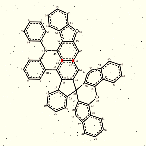 c1ccc(N(c2ccccc2-c2cccc3c2-c2ccccc2C32c3ccc4ccccc4c3Oc3c2ccc2ccccc32)c2cccc3oc4ccccc4c23)cc1